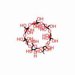 C[C@@H](O)C(O)C1OC2OC(CO)C(OC3OC(CO)C(OC4OC(CO)C(OC5OC(CO)C(OC6OC(CO)C(OC7OC(CO)C(OOC1CO)C(O)C7O)C(O)C6O)C(O)C5O)C(O)C4O)C(O)C3O)C(O)C2O